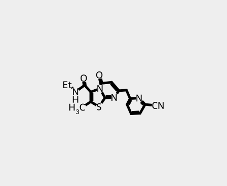 CCNC(=O)c1c(C)sc2nc(Cc3cccc(C#N)n3)cc(=O)n12